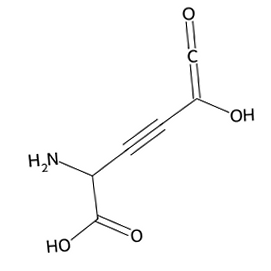 NC(C#CC(O)=C=O)C(=O)O